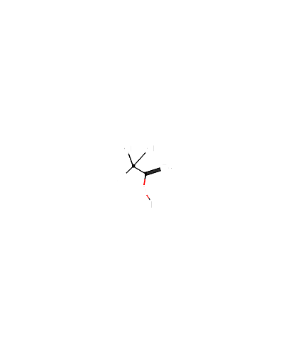 CCOC(=[Te])C(C)(C)C